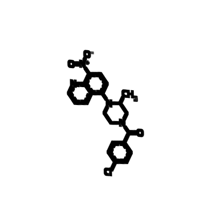 CC1CN(C(=O)c2ccc(Cl)cc2)CCN1c1ccc([N+](=O)[O-])c2ncccc12